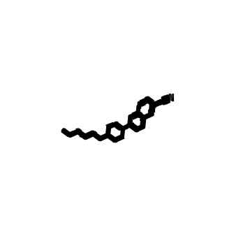 CCCCCCC1CC=C(c2ccc3cc(C#N)ccc3c2)CC1